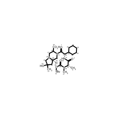 C[C@@H](C(=O)N[C@H](C(=O)N1C[C@H]2CC(C)(O)CN2CC1C(=O)O)C1CCCCC1)N(C)C(=O)OC(C)(C)C